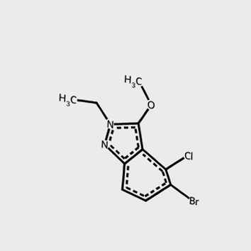 CCn1nc2ccc(Br)c(Cl)c2c1OC